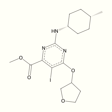 COC(=O)c1nc(N[C@H]2CC[C@@H](C)CC2)nc(OC2CCOC2)c1I